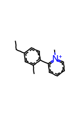 CCc1ccc(-c2cccc[n+]2C)c(C)c1